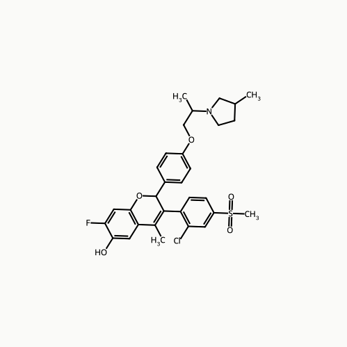 CC1=C(c2ccc(S(C)(=O)=O)cc2Cl)C(c2ccc(OCC(C)N3CCC(C)C3)cc2)Oc2cc(F)c(O)cc21